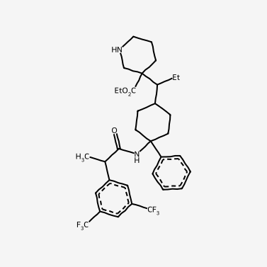 CCOC(=O)C1(C(CC)C2CCC(NC(=O)C(C)c3cc(C(F)(F)F)cc(C(F)(F)F)c3)(c3ccccc3)CC2)CCCNC1